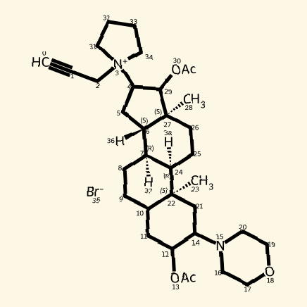 C#CC[N+]1(C2C[C@H]3[C@@H]4CCC5CC(OC(C)=O)C(N6CCOCC6)C[C@]5(C)[C@@H]4CC[C@]3(C)C2OC(C)=O)CCCC1.[Br-]